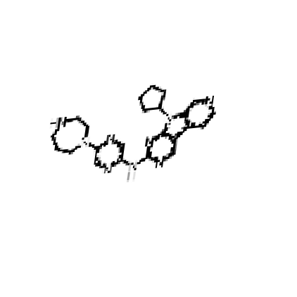 c1cc2c3cnc(Nc4cnc(N5CCCNCC5)cn4)nc3n(C3CCCC3)c2cn1